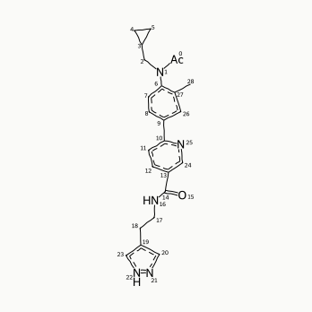 CC(=O)N(CC1CC1)c1ccc(-c2ccc(C(=O)NCCc3cn[nH]c3)cn2)cc1C